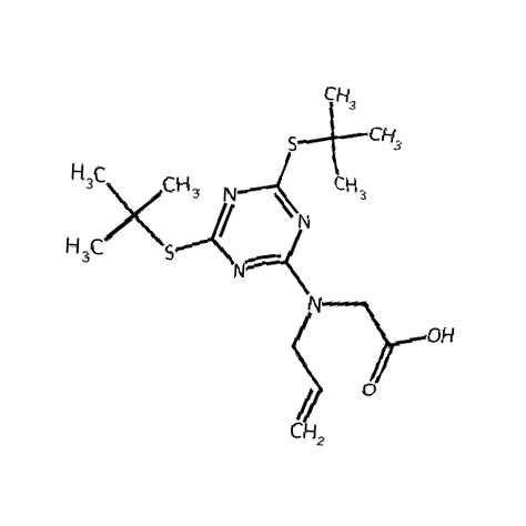 C=CCN(CC(=O)O)c1nc(SC(C)(C)C)nc(SC(C)(C)C)n1